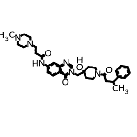 CC(CC(=O)N1CCC(O)(Cn2cnc3cc(NC(=O)CCN4CCN(C)CC4)ccc3c2=O)CC1)c1ccccc1